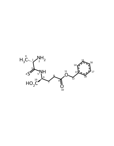 C[C@H](N)C(=S)N[C@@H](CCC(=O)OCc1ccccc1)C(=O)O